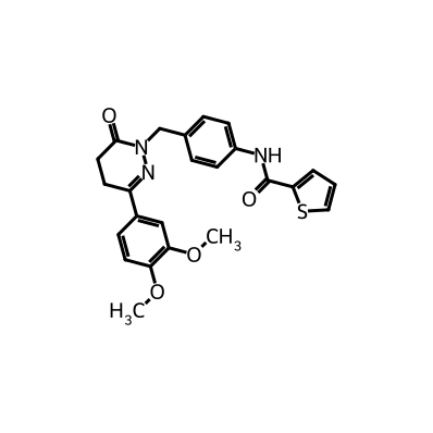 COc1ccc(C2=NN(Cc3ccc(NC(=O)c4cccs4)cc3)C(=O)CC2)cc1OC